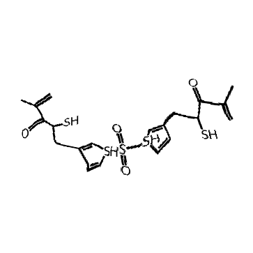 C=C(C)C(=O)C(S)CC1=C[SH](S(=O)(=O)[SH]2C=CC(CC(S)C(=O)C(=C)C)=C2)C=C1